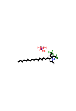 CCCCCCCCCCCCCCCCCC(CC(F)(F)F)(CC(F)(F)F)NC(C)C.O=P(O)(O)O